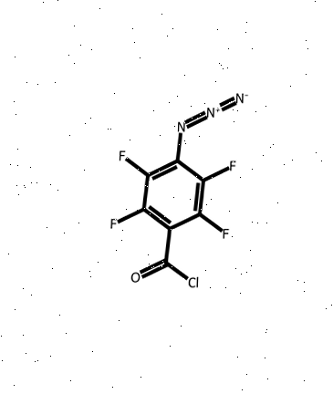 [N-]=[N+]=Nc1c(F)c(F)c(C(=O)Cl)c(F)c1F